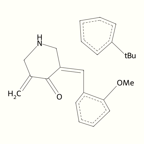 C=C1CNCC(=Cc2ccccc2OC)C1=O.CC(C)(C)c1ccccc1